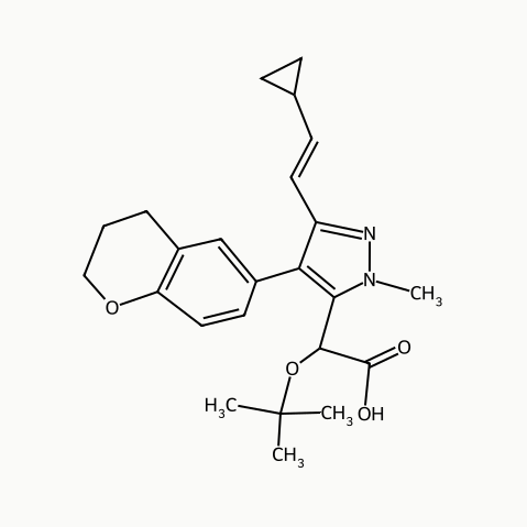 Cn1nc(C=CC2CC2)c(-c2ccc3c(c2)CCCO3)c1C(OC(C)(C)C)C(=O)O